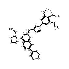 COc1cc(-n2cnc(Nc3nc(N4CCC[C@H]4CO)c4ccc(C5=CCNCC5)cc4n3)c2)cc(OC)c1OC